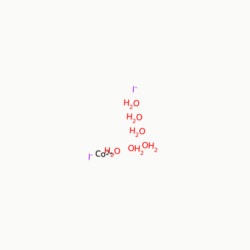 O.O.O.O.O.O.[Co+2].[I-].[I-]